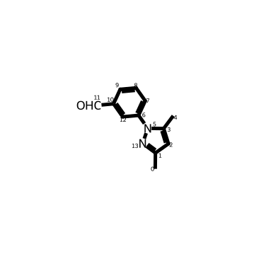 Cc1cc(C)n(-c2cccc(C=O)c2)n1